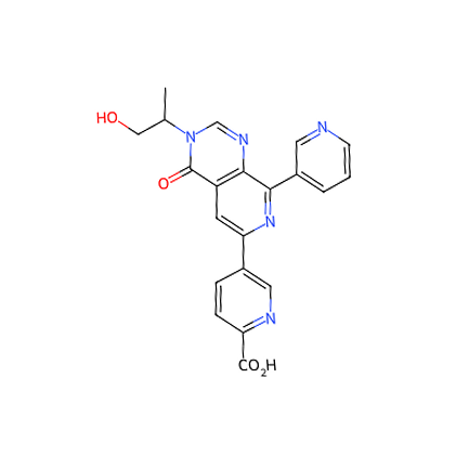 CC(CO)n1cnc2c(-c3cccnc3)nc(-c3ccc(C(=O)O)nc3)cc2c1=O